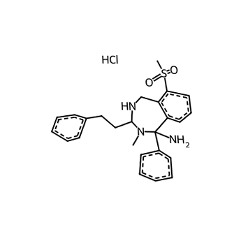 CN1C(CCc2ccccc2)NCc2c(cccc2S(C)(=O)=O)C1(N)c1ccccc1.Cl